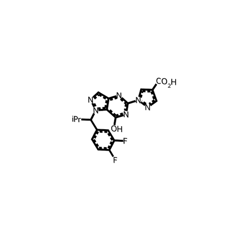 CC(C)C(c1ccc(F)c(F)c1)n1ncc2nc(-n3cc(C(=O)O)cn3)nc(O)c21